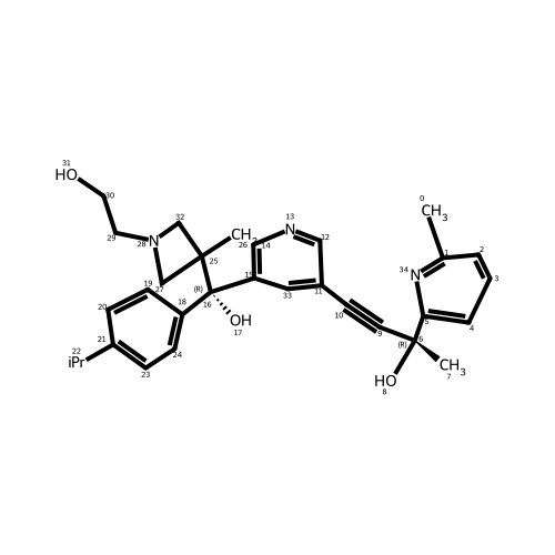 Cc1cccc([C@](C)(O)C#Cc2cncc([C@@](O)(c3ccc(C(C)C)cc3)C3(C)CN(CCO)C3)c2)n1